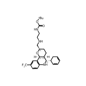 CC(C)(C)OC(=O)NCCNC[C@H]1CC[C@@H]2[C@H](O1)c1cc(C(F)(F)F)ccc1N[C@H]2C1C=CC=CC1